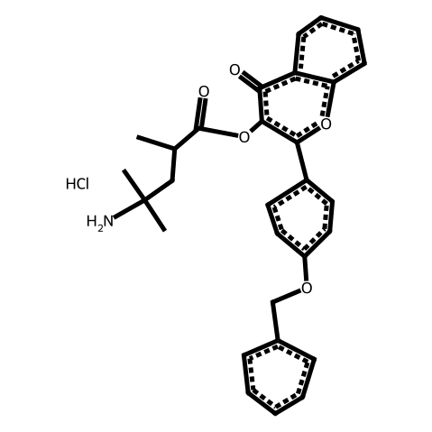 CC(CC(C)(C)N)C(=O)Oc1c(-c2ccc(OCc3ccccc3)cc2)oc2ccccc2c1=O.Cl